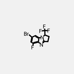 Fc1cc(Br)cc2c1nc1n2C(C(F)(F)F)CC1